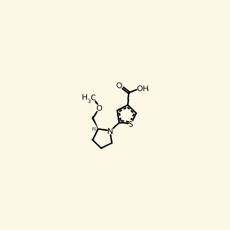 COC[C@@H]1CCCN1c1cc(C(=O)O)cs1